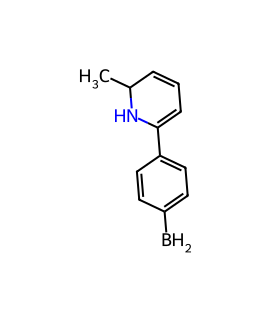 Bc1ccc(C2=CC=CC(C)N2)cc1